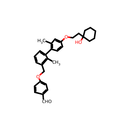 Cc1cc(OCCC2(O)CCCCC2)ccc1-c1cccc(COc2ccc(C=O)cc2)c1C